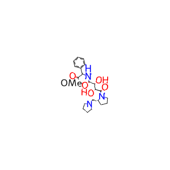 COC(=O)[C@H](NC(=O)[C@H](O)[C@@H](O)C(=O)N1CCC[C@H]1CN1CCCC1)c1ccccc1